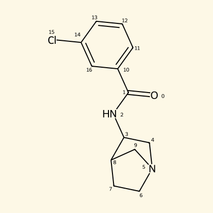 O=C(NC1CN2CCC1C2)c1cccc(Cl)c1